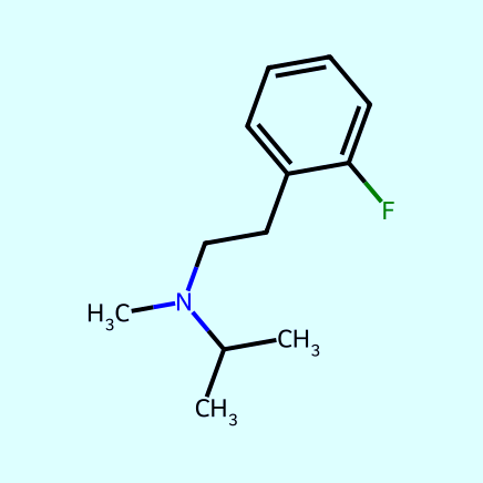 CC(C)N(C)CCc1ccccc1F